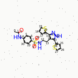 CC(=O)Nc1ccc(S(=O)(=O)NCCc2c(-c3cccs3)n[nH]c2-c2cccs2)cc1